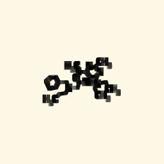 CCCN(CC(=O)Nc1c(SC)nc(C)nc1N(CC)CC)Cc1ccccc1